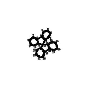 c1ccc2c(c1)-c1ccccc1C21c2ccccc2-c2ccccc21